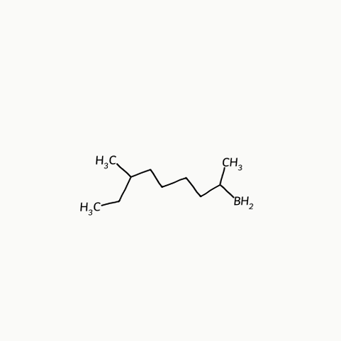 BC(C)CCCCC(C)CC